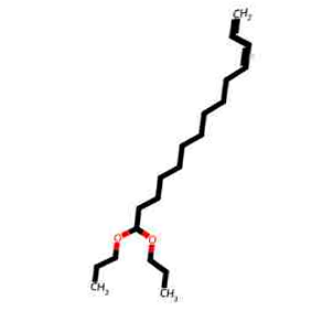 C=C/C=C\CCCCCCCCCC(OCCC)OCCC